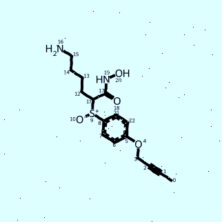 CC#CCOc1ccc([S+]([O-])C(CCCCN)C(=O)NO)cc1